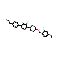 CCCc1ccc(-c2ccc(C3CCC(OCc4ccc(CC)cc4F)CC3)c(F)c2F)cc1